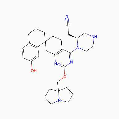 N#CC[C@H]1CNCCN1c1nc(OCC23CCCN2CCC3)nc2c1CCC1(CCCc3ccc(O)cc31)C2